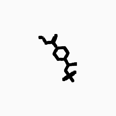 CC(C)(C)OC(=O)N1CCC(C(Cl)CS(C)(=O)=O)CC1